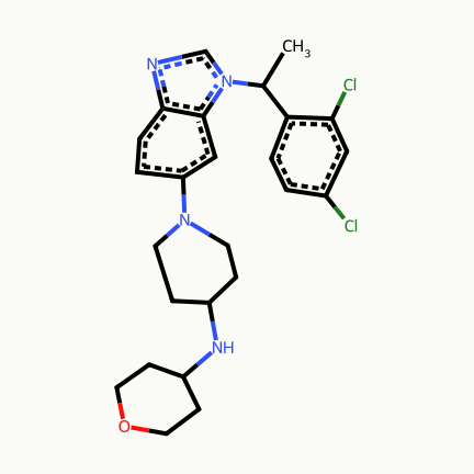 CC(c1ccc(Cl)cc1Cl)n1cnc2ccc(N3CCC(NC4CCOCC4)CC3)cc21